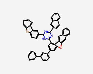 c1ccc(-c2cccc(-c3cc(C4=NC(c5ccc6ccccc6c5)=NC(c5ccc6sc7ccccc7c6c5)N4)c4c(c3)oc3cc5ccccc5cc34)c2)cc1